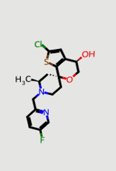 C[C@H]1C[C@@]2(CCN1Cc1ccc(F)cn1)OC[C@H](O)c1cc(Cl)sc12